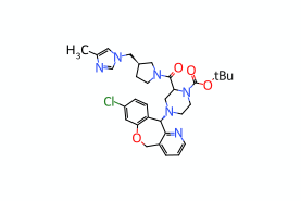 Cc1cn(C[C@@H]2CCN(C(=O)C3CN([C@@H]4c5ccc(Cl)cc5OCc5cccnc54)CCN3C(=O)OC(C)(C)C)C2)cn1